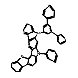 c1ccc(-c2cc(-c3ccccc3)cc(-n3c4ccccc4c4cc5c6c7sc8ccccc8c7ccc6n(-c6ccccc6)c5cc43)c2)cc1